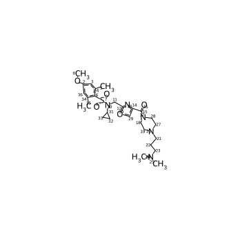 COc1cc(C)c(S(=O)(=O)N(Cc2nc(C(=O)N3CCN(CCCN(C)C)CC3)co2)C2CC2)c(C)c1